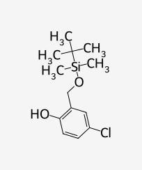 CC(C)(C)[Si](C)(C)OCc1cc(Cl)ccc1O